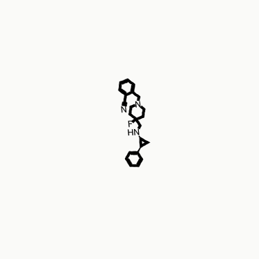 N#Cc1ccccc1CN1CCC(F)(CN[C@@H]2C[C@H]2c2ccccc2)CC1